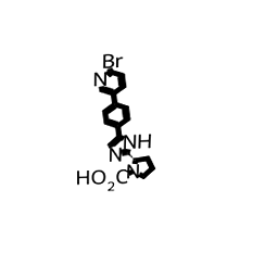 O=C(O)N1CCC[C@H]1c1ncc(-c2ccc(-c3ccc(Br)nc3)cc2)[nH]1